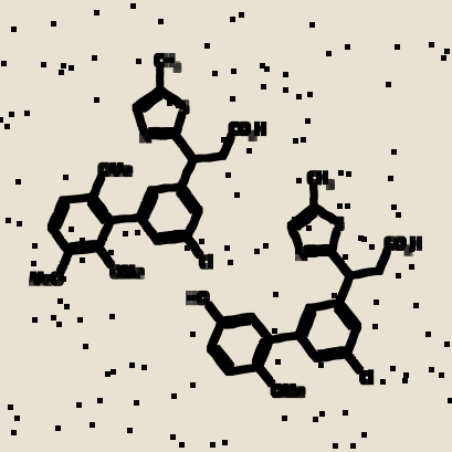 COc1ccc(O)cc1-c1cc(Cl)cc(C(CC(=O)O)c2ncc(C)s2)c1.COc1ccc(OC)c(-c2cc(Cl)cc(C(CC(=O)O)c3ncc(C)s3)c2)c1OC